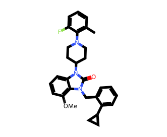 COc1cccc2c1n(Cc1ccccc1C1CC1)c(=O)n2C1CCN(c2c(C)cccc2F)CC1